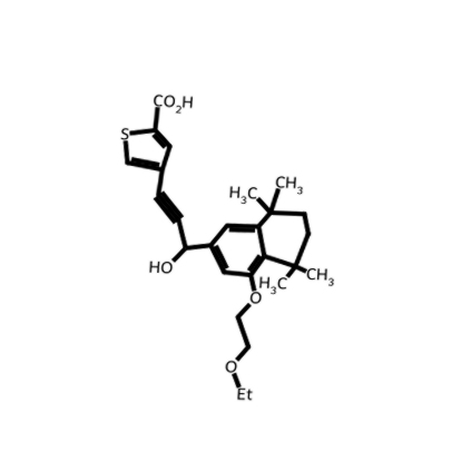 CCOCCOc1cc(C(O)C#Cc2csc(C(=O)O)c2)cc2c1C(C)(C)CCC2(C)C